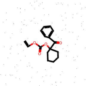 C=COC(=O)OC1(C(=O)c2ccccc2)CCCCC1